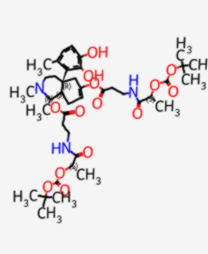 Cc1ccc(O)c(O)c1[C@]12CCN(C)[C@H](C)[C@]1(OC(=O)CCNC(=O)[C@H](C)OC(=O)OC(C)(C)C)CC=C(OC(=O)CCNC(=O)[C@H](C)OC(=O)OC(C)(C)C)C2